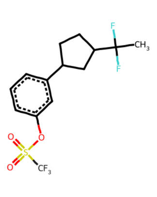 CC(F)(F)C1CCC(c2cccc(OS(=O)(=O)C(F)(F)F)c2)C1